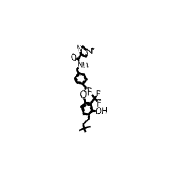 Cn1cnc(C(=O)NCc2ccc(COc3ccc(CCC(C)(C)C)c(O)c3C(F)(F)F)cc2)c1